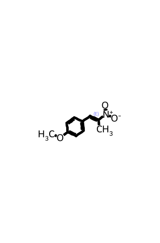 COc1ccc(/C=C(\C)[N+](=O)[O-])cc1